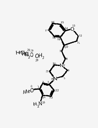 COc1cc(N2CCN(CCC3CCOc4ccccc43)CC2)ccc1N.Cl.Cl.O.O